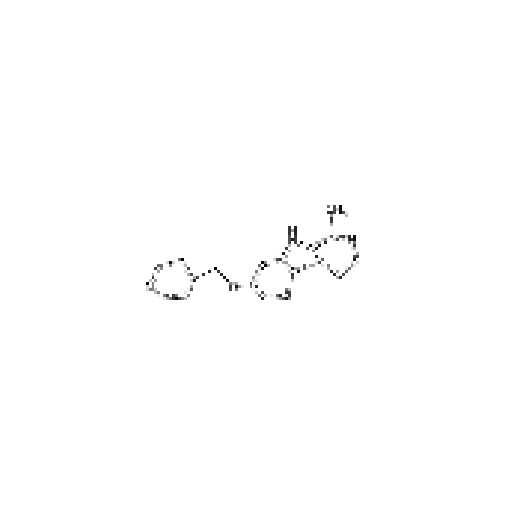 Cc1nccc2c1[nH]c1cc(OCc3ccncc3)ccc12